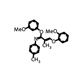 COc1cccc(OC(=Nc2ccc(C)cc2)C(C)=COc2ccccc2OC)c1